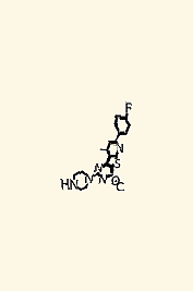 CCOc1nc(N2CCNCC2)nc2c1sc1nc(-c3ccc(F)cc3)cc(C)c12